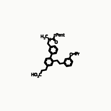 CCCCCC(=O)N(C)Cc1cccc(-c2ccc(CCC(=O)O)cc2CCc2cccc(OC(C)C)c2)c1